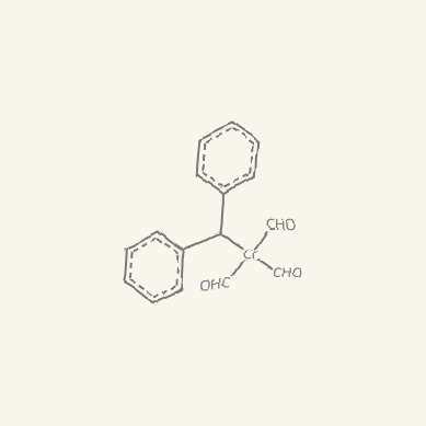 O=[CH][Cr]([CH]=O)([CH]=O)[CH](c1ccccc1)c1ccccc1